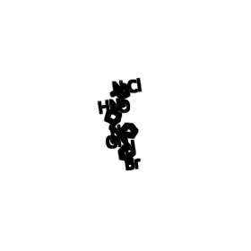 Cc1ncc(Cl)cc1C(=O)NC1CCC(Cn2c(=O)n(-c3ccc(Br)cn3)c3ccccc32)CC1